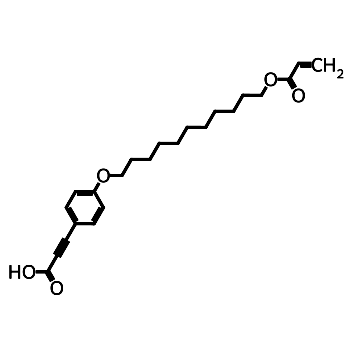 C=CC(=O)OCCCCCCCCCCCOc1ccc(C#CC(=O)O)cc1